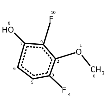 COc1c(F)ccc(O)c1F